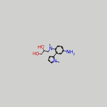 CN(CC(O)CO)c1ccc(N)cc1-c1cccn1C